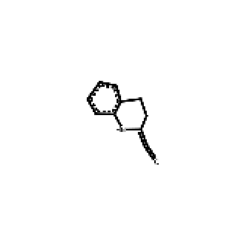 O=C=C1CCc2ccccc2N1